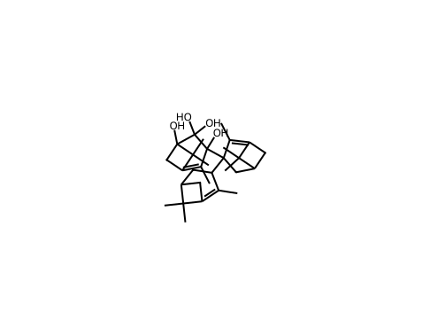 CC1=C2CC(CC1C1(C3(O)C(C)=C4CC(O)(C4(C)C)C3(O)O)CC3CC(=C1C)C3(C)C)C2(C)C